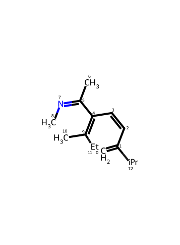 C=C(\C=C/C(C(/C)=N\C)=C(/C)CC)C(C)C